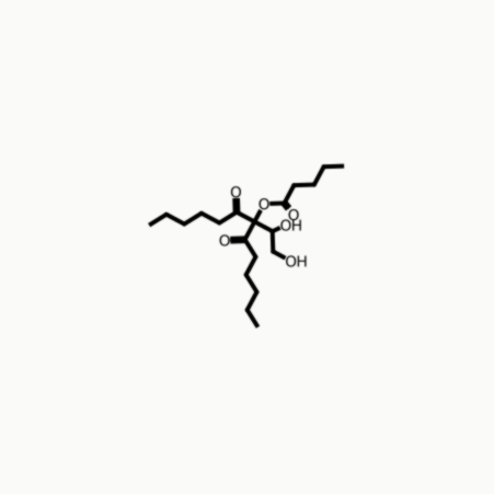 CCCCCC(=O)C(OC(=O)CCCC)(C(=O)CCCCC)C(O)CO